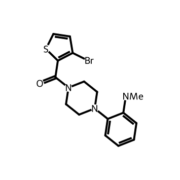 CNc1ccccc1N1CCN(C(=O)c2sccc2Br)CC1